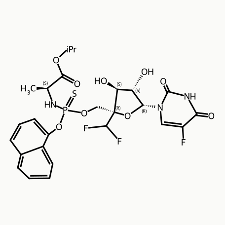 CC(C)OC(=O)[C@H](C)NP(=S)(OC[C@@]1(C(F)F)O[C@@H](n2cc(F)c(=O)[nH]c2=O)[C@@H](O)[C@@H]1O)Oc1cccc2ccccc12